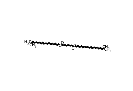 CC(C)CCCCCCCCCCCCCCCCCOC(=O)CCCCCCC(=O)OCCCCCCCCCCCCCCCCCC(C)C